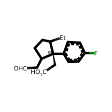 CCC1CCC(CC=O)[C@@]1(CC(=O)O)c1ccc(F)cc1